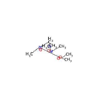 CCCCCCCCCCN(CCCCCCCCCC)C(=O)CCCCCCCCC(CCCCCCCCC(=O)OCC(CCCC)CCCCCC)N(CCCCCCCCCC)C(=O)CCCN(C)C